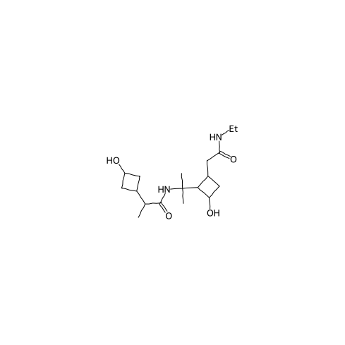 CCNC(=O)CC1CC(O)C1C(C)(C)NC(=O)C(C)C1CC(O)C1